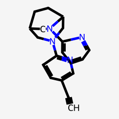 C#Cc1ccc(N2CC3CCC(C2)N(c2ccccn2)C3)nc1